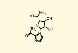 NC(=O)c1nccn1[C@@H]1O[C@H](C(N)O)[C@@H](O)[C@H]1O